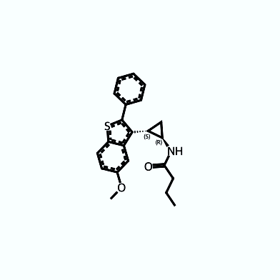 CCCC(=O)N[C@@H]1C[C@H]1c1c(-c2ccccc2)sc2ccc(OC)cc12